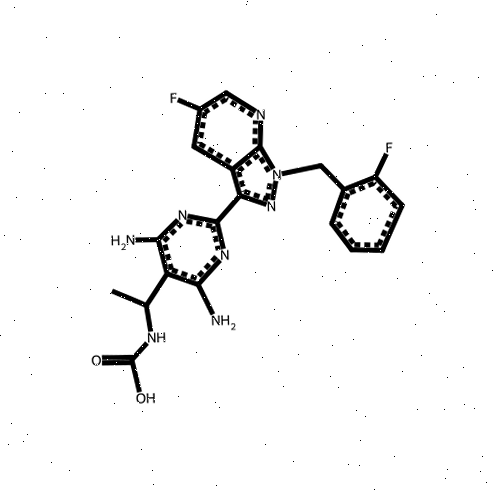 CC(NC(=O)O)c1c(N)nc(-c2nn(Cc3ccccc3F)c3ncc(F)cc23)nc1N